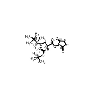 CC(C)(C)OC(=O)N[C@@H](CO[Si](C)(C)C(C)(C)C)C(=O)ON1C(=O)CCC1=O